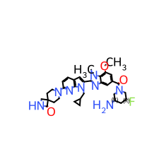 COc1cc(C(=O)N2C[C@H](N)C[C@@H](F)C2)cc2nc(-c3cc4ccc(N5CCC6(CC5)CNC6=O)nc4n3CC3CC3)n(C)c12